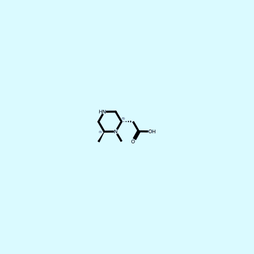 C[C@H]1CNC[C@H](CC(=O)O)N1C